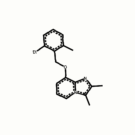 CCc1cccc(C)c1COc1cccn2c(C)c(C)nc12